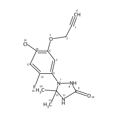 C#CCOc1cc(N2NC(=O)NC2(C)C)c(F)cc1Cl